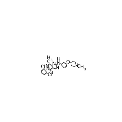 Cc1nn(-c2c(Cl)cccc2Cl)c(=O)c2cnc(Nc3cccc(OC4CCN(C)CC4)c3)nc12